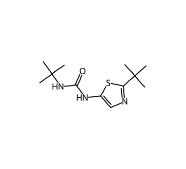 CC(C)(C)NC(=O)Nc1cnc(C(C)(C)C)s1